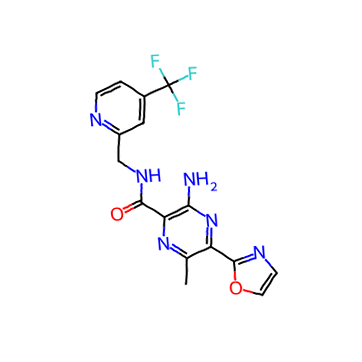 Cc1nc(C(=O)NCc2cc(C(F)(F)F)ccn2)c(N)nc1-c1ncco1